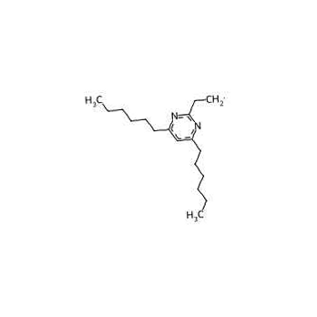 [CH2]Cc1nc(CCCCCC)cc(CCCCCC)n1